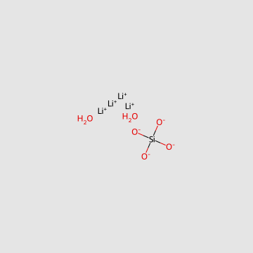 O.O.[Li+].[Li+].[Li+].[Li+].[O-][Si]([O-])([O-])[O-]